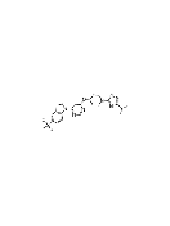 CC(C)c1noc(N2CCC(Oc3cc(N4CCc5cc(S(C)(=O)=O)ccc54)ncn3)CC2)n1